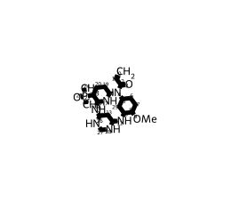 C=CC(=O)NC1CCC(OC)C(NC2CC(NC3NCCCC3P(C)(C)=O)NCN2)C1